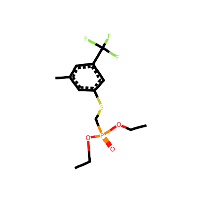 CCOP(=O)(CSc1cc(C)cc(C(F)(F)F)c1)OCC